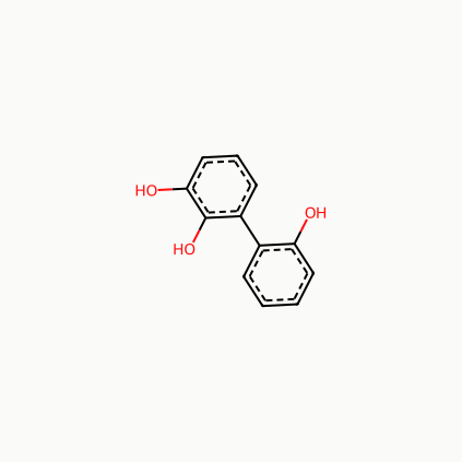 Oc1ccccc1-c1cccc(O)c1O